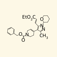 CCOC(=O)/C=C/c1c(C2=CCN(C(=O)OCc3ccccc3)CC2)c(C)nn1C1CCCCO1